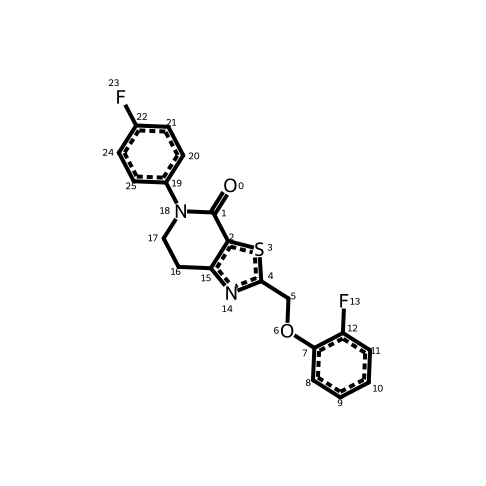 O=C1c2sc(COc3ccccc3F)nc2CCN1c1ccc(F)cc1